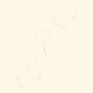 c1cnc2[nH]c(-c3cnc4oc(-c5cnc6scnc6c5)nc4c3)nc2c1